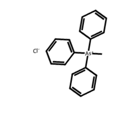 C[As+](c1ccccc1)(c1ccccc1)c1ccccc1.[Cl-]